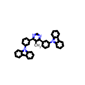 Cc1c(-c2cccc(-n3c4ccccc4c4ccccc43)c2)ncnc1-c1cccc(-n2c3ccccc3c3ccccc32)c1